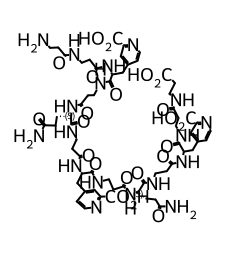 NCCC(=O)NCCC(=O)NC(Cc1ccnc(C(=O)O)c1)C(=O)NCCC(=O)N[C@@H](CCC(N)=O)C(=O)NCCC(=O)NC(Cc1ccnc(C(=O)O)c1)C(=O)NCCC(=O)N[C@@H](CCC(N)=O)C(=O)NCCC(=O)NC(Cc1ccnc(C(=O)O)c1)C(=O)NCCC(=O)NCCC(=O)O